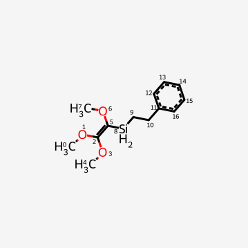 COC(OC)=C(OC)[SiH2]CCc1ccccc1